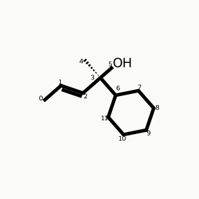 CC=C[C@@](C)(O)C1CCCCC1